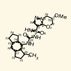 CO[C@@H]1COc2c([S@](=N)(=O)NC(=O)Nc3c4c(cc5c3[C@@H](C)CC5)CCC4)cnn2C1